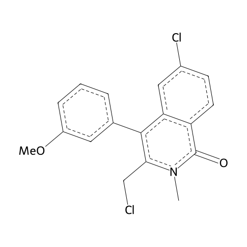 COc1cccc(-c2c(CCl)n(C)c(=O)c3ccc(Cl)cc23)c1